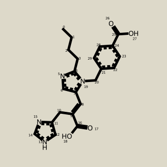 CCCCc1ncc(/C=C(\Cc2c[nH]cn2)C(=O)O)n1Cc1ccc(C(=O)O)cc1